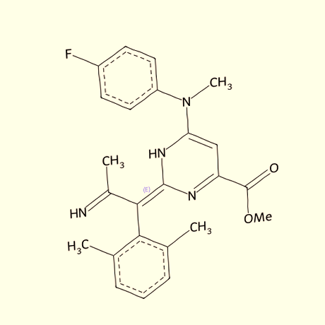 COC(=O)C1=N/C(=C(/C(C)=N)c2c(C)cccc2C)NC(N(C)c2ccc(F)cc2)=C1